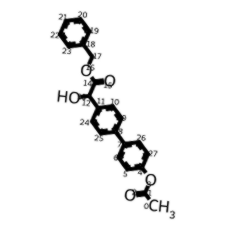 CC(=O)Oc1ccc(-c2ccc(C(O)C(=O)OCc3ccccc3)cc2)cc1